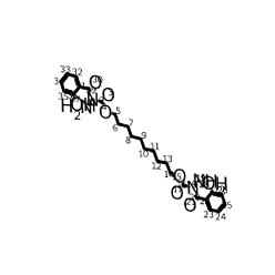 NN(C(=O)OCCCCCCCCCCOC(=O)N(N)C(=O)c1ccccc1O)C(=O)c1ccccc1O